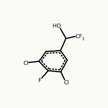 OC(c1cc(Cl)c(F)c(Cl)c1)C(F)(F)F